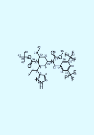 CCC(c1cc[nH]n1)C1CC(N(Cc2cc(C(F)(F)F)cc(C(F)(F)F)c2)C(=O)OC)CC(CC)N1C(=O)OC(C)(C)C